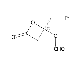 CC(C)C[C@]1(OC=O)CC(=O)O1